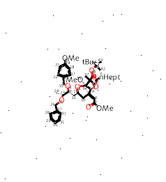 CCCCCCCC(=O)O[C@H]1/C(=C/C(=O)OC)C[C@@H](C[C@@H](OCc2ccc(OC)cc2)[C@@H](C)OCc2ccccc2)O[C@@]1(OC)C(C)(C)CO[Si](C)(C)C(C)(C)C